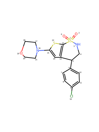 O=S1(=O)NCC(c2ccc(Cl)cc2)c2cc(N3CCOCC3)sc21